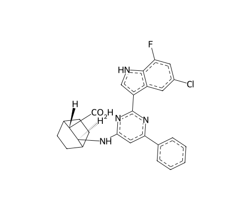 O=C(O)[C@H]1C2CCC(CC2)[C@@H]1Nc1cc(-c2ccccc2)nc(-c2c[nH]c3c(F)cc(Cl)cc23)n1